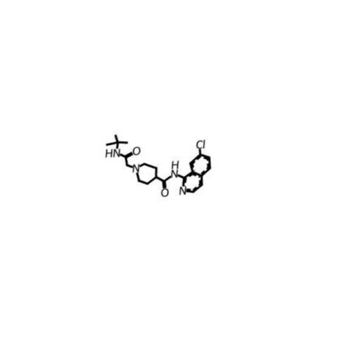 CC(C)(C)NC(=O)CN1CCC(C(=O)Nc2nccc3ccc(Cl)cc23)CC1